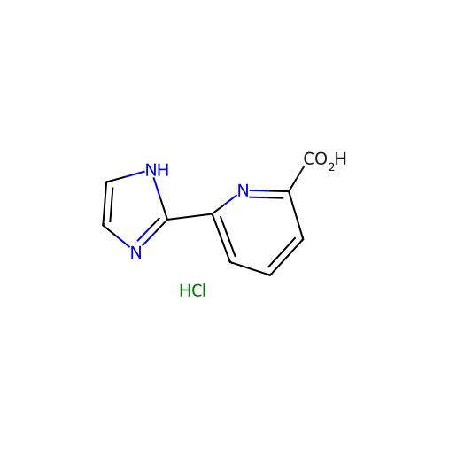 Cl.O=C(O)c1cccc(-c2ncc[nH]2)n1